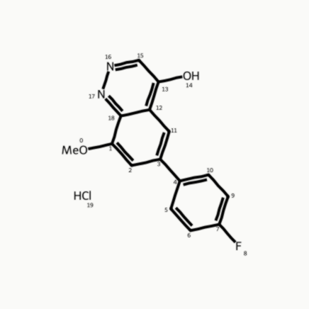 COc1cc(-c2ccc(F)cc2)cc2c(O)cnnc12.Cl